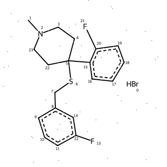 Br.CN1CCC(SCc2cccc(F)c2)(c2ccccc2F)CC1